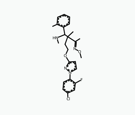 CNC(c1ccccc1C)C(C)(CCOc1ccn(-c2ccc(Cl)cc2F)n1)C(C)=NOC